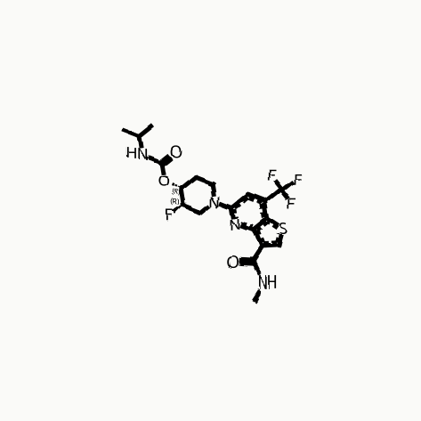 CNC(=O)c1csc2c(C(F)(F)F)cc(N3CC[C@@H](OC(=O)NC(C)C)[C@H](F)C3)nc12